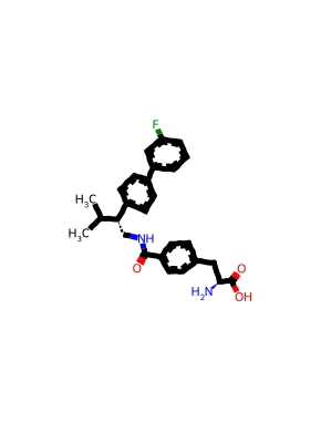 CC(C)[C@@H](CNC(=O)c1ccc(C[C@@H](N)C(=O)O)cc1)c1ccc(-c2cccc(F)c2)cc1